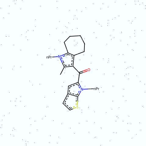 CCCn1c(C)c(C(=O)c2cc3ccsc3n2CCC)c2c1CCCCC2